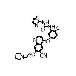 N#Cc1cc2c(Oc3ccc(Cl)c(NC(=O)Nc4nccs4)c3)ccnc2cc1OCCN1CCCC1